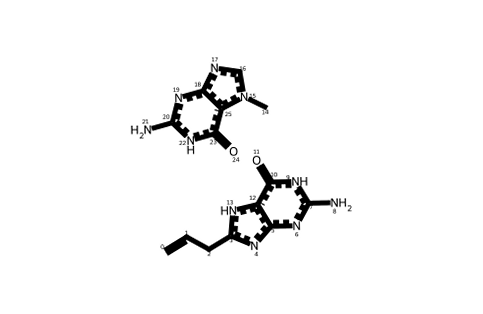 C=CCc1nc2nc(N)[nH]c(=O)c2[nH]1.Cn1cnc2nc(N)[nH]c(=O)c21